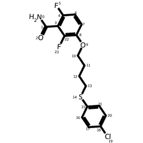 NC(=O)c1c(F)ccc(OCCCCSc2ccc(Cl)cc2)c1F